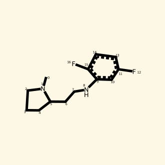 CN1CCCC1CCNc1cc(F)[c]cc1F